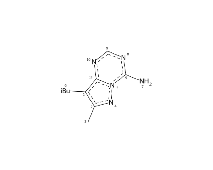 CCC(C)c1c(C)nn2c(N)ncnc12